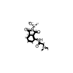 CN(C)CC(=O)Nc1cccc2c1C(=O)N([S+](C)[O-])C2=O